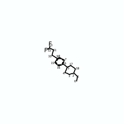 CCC1CCC(c2ccc(CCC(F)F)cc2)CC1